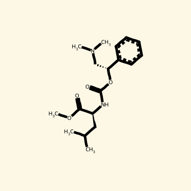 COC(=O)[C@H](CC(C)C)NC(=O)O[C@H](CN(C)C)c1ccccc1